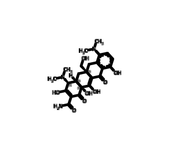 CN(C)c1ccc(O)c2c1C[C@@]1(CO)C[C@H]3[C@H](N(C)C)C(O)=C(C(N)=O)C(=O)[C@@]3(O)C(O)=C1C2=O